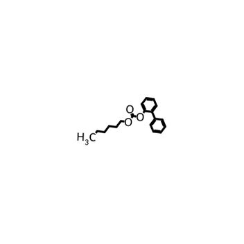 CCCCCCOC(=O)Oc1ccccc1-c1ccccc1